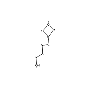 OCCCCC1COC1